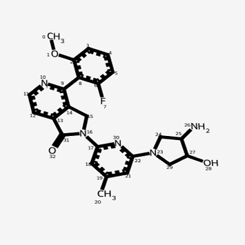 COc1cccc(F)c1-c1nccc2c1CN(c1cc(C)cc(N3CC(N)C(O)C3)n1)C2=O